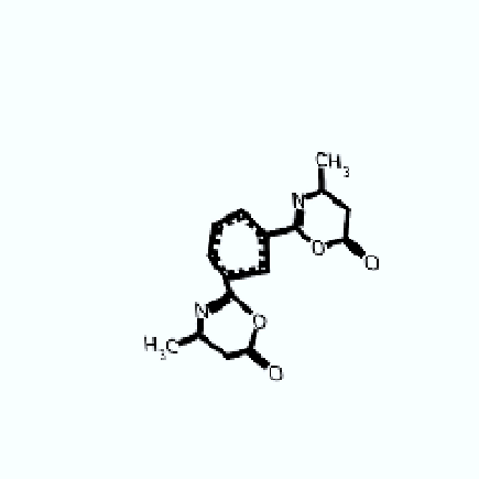 CC1CC(=O)OC(c2cccc(C3=NC(C)CC(=O)O3)c2)=N1